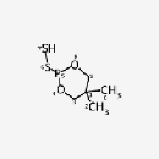 CC1(C)COP(SS)OC1